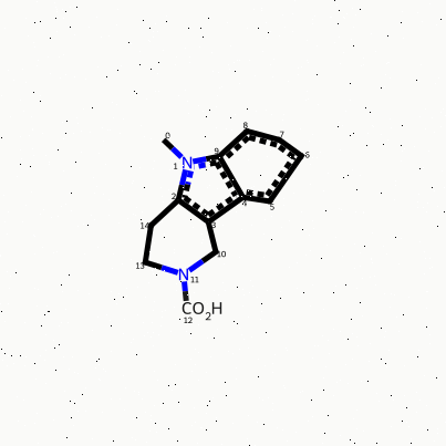 Cn1c2c(c3ccccc31)CN(C(=O)O)CC2